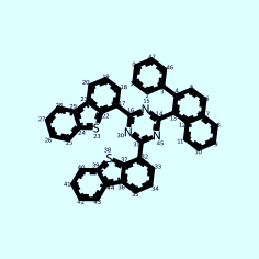 c1ccc(-c2ccc3ccccc3c2-c2nc(-c3cccc4c3sc3ccccc34)nc(-c3cccc4c3sc3ccccc34)n2)cc1